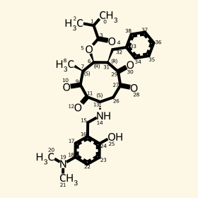 CC(C)C(=O)O[C@@H]1[C@H](C)C(=O)C(=O)[C@@H](NCc2cc(N(C)C)ccc2O)CC(=O)C(=O)[C@@H]1Cc1ccccc1